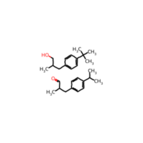 CC(C=O)Cc1ccc(C(C)C)cc1.CC(CO)Cc1ccc(C(C)(C)C)cc1